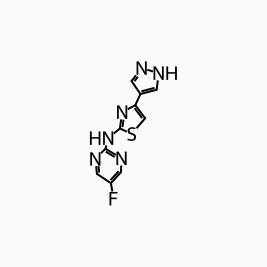 Fc1cnc(Nc2nc(-c3cn[nH]c3)cs2)nc1